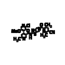 COc1cnc(Cl)cc1-c1cc(C)ncc1C(=O)Nc1nc2c(s1)CN(C(=O)c1nc(C)c(C#N)cc1C)C2